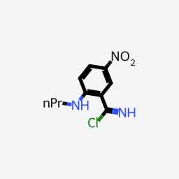 CCCNc1ccc([N+](=O)[O-])cc1C(=N)Cl